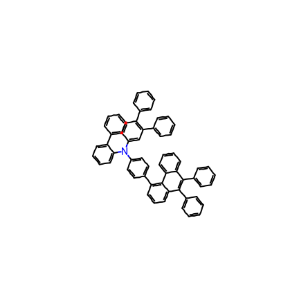 c1ccc(-c2ccc(N(c3ccc(-c4cccc5c(-c6ccccc6)c(-c6ccccc6)c6ccccc6c45)cc3)c3ccccc3-c3ccccc3)cc2-c2ccccc2)cc1